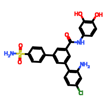 Nc1cc(Cl)ccc1-c1cc(C(=O)Nc2ccc(O)c(O)c2)cc(-c2ccc(S(N)(=O)=O)cc2)c1